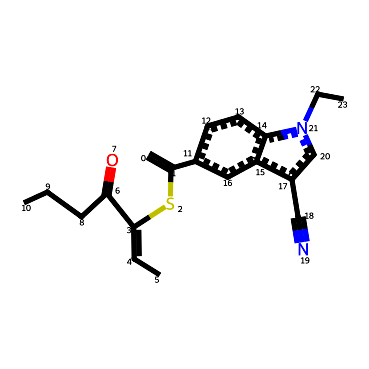 C=C(S/C(=C\C)C(=O)CCC)c1ccc2c(c1)c(C#N)cn2CC